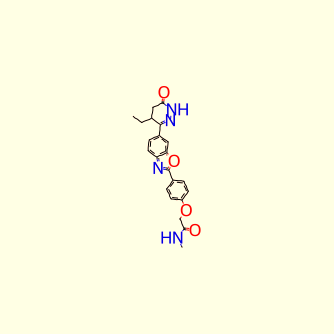 CCC1CC(=O)NN=C1c1ccc2nc(-c3ccc(OCC(=O)NC)cc3)oc2c1